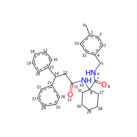 Cc1ccc(CNC(=O)C2(NC(=O)CC(c3ccccc3)c3ccccc3)CCCCC2)cc1